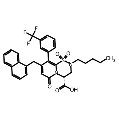 CCCCCN1C[C@H](C(=O)O)n2c(c(-c3cccc(C(F)(F)F)c3)c(Cc3cccc4ccccc34)cc2=O)S1(=O)=O